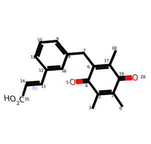 CC1=C(C)C(=O)C(Cc2cccc(/C=C/C(=O)O)c2)=C(C)C1=O